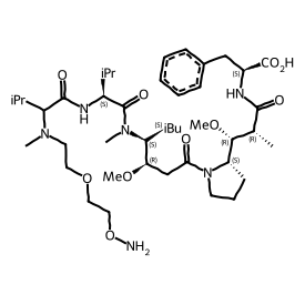 CC[C@H](C)[C@@H]([C@@H](CC(=O)N1CCC[C@H]1[C@H](OC)[C@@H](C)C(=O)N[C@@H](Cc1ccccc1)C(=O)O)OC)N(C)C(=O)[C@@H](NC(=O)C(C(C)C)N(C)CCOCCON)C(C)C